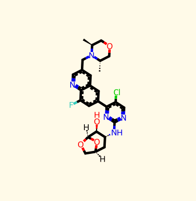 C[C@H]1COC[C@H](C)N1Cc1cnc2c(F)cc(-c3nc(N[C@@H]4C[C@H]5CO[C@H](O5)[C@H]4O)ncc3Cl)cc2c1